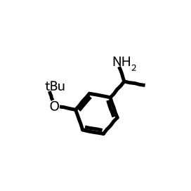 CC(N)c1cccc(OC(C)(C)C)c1